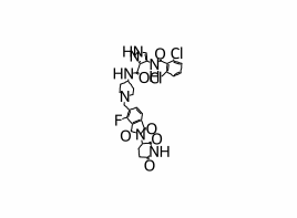 O=C1CCC(N2C(=O)c3ccc(CN4CCC(NC(=O)c5n[nH]cc5NC(=O)c5c(Cl)cccc5Cl)CC4)c(F)c3C2=O)C(=O)N1